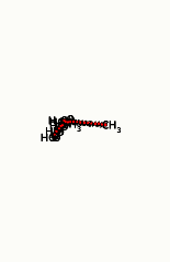 CCC=CCC=CCC=CCC=CCC=CCC=CCC(=O)OCC(C)(C)[C@@H](O)C(=O)NCCC(=O)NCCS(=O)O